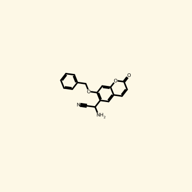 N#CC(N)c1cc2ccc(=O)oc2cc1OCc1ccccc1